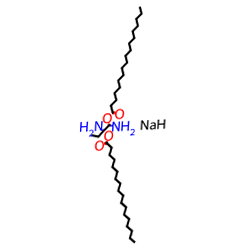 CCCCCCCCCCCCCCCCCC(=O)OC(N)C(N)(CC)OC(=O)CCCCCCCCCCCCCCCCC.[NaH]